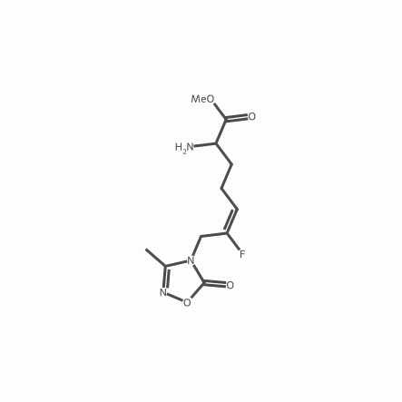 COC(=O)C(N)CC/C=C(/F)Cn1c(C)noc1=O